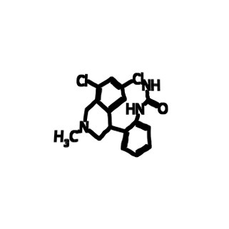 CN1Cc2c(Cl)cc(Cl)cc2C(c2ccccc2NC([NH])=O)C1